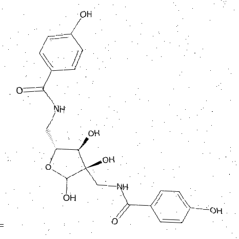 O=C(NC[C@H]1OC(O)[C@@](O)(CNC(=O)c2ccc(O)cc2)[C@@H]1O)c1ccc(O)cc1